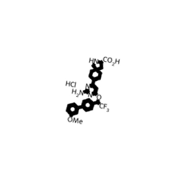 COc1cccc(-c2ccc(C(Oc3cc(C4=CCC5(CC4)CNC(C(=O)O)C5)nc(N)n3)C(F)(F)F)cc2)c1.Cl